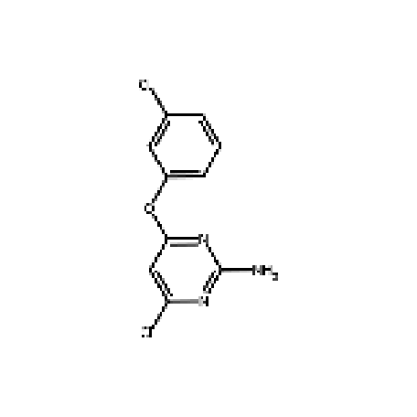 Nc1nc(Cl)cc(Oc2cccc(Cl)c2)n1